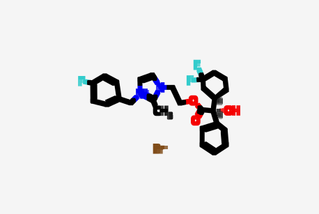 Cc1n(CCOC(=O)[C@](O)(c2ccccc2)[C@@H]2CCCC(F)(F)C2)cc[n+]1Cc1ccc(F)cc1.[Br-]